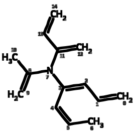 C=C/C=C(\C=C/C)N(C(=C)C)C(=C)C=C